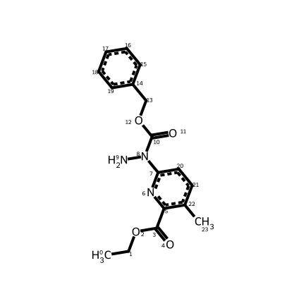 CCOC(=O)c1nc(N(N)C(=O)OCc2ccccc2)ccc1C